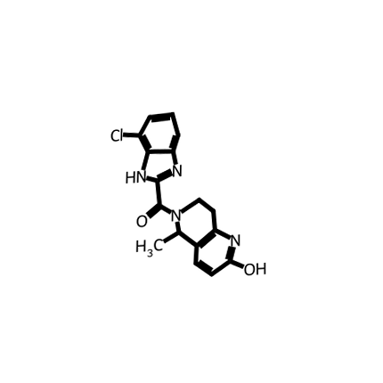 CC1c2ccc(O)nc2CCN1C(=O)c1nc2cccc(Cl)c2[nH]1